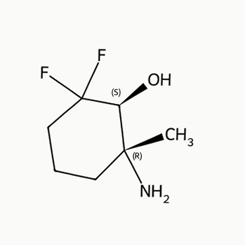 C[C@@]1(N)CCCC(F)(F)[C@H]1O